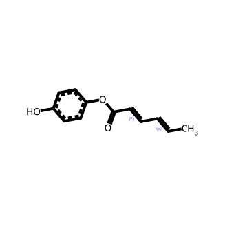 C/C=C/C=C/C(=O)Oc1ccc(O)cc1